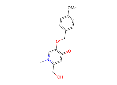 COc1ccc(COc2cn(C)c(CO)cc2=O)cc1